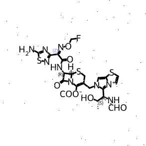 C[C@H](O)[C@H](NC=O)c1n(CC2=C(C(=O)[O-])N3C(=O)[C@@H](NC(=O)/C(=N\OCF)c4nsc(N)n4)[C@H]3SC2)cc2scc[n+]12